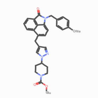 COc1ccc(CN2C(=O)c3cccc4c(Cc5cnn(C6CCN(C(=O)OC(C)(C)C)CC6)c5)ccc2c34)cc1